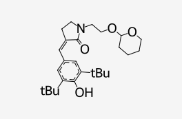 CC(C)(C)c1cc(C=C2CCN(CCOC3CCCCO3)C2=O)cc(C(C)(C)C)c1O